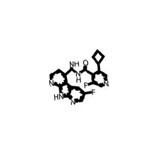 N=C(NC(=O)c1c(F)cncc1C1CCC1)c1ccnc2[nH]c3ncc(F)cc3c12